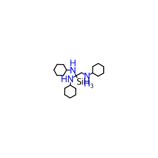 [SiH3]C(CNC1CCCCC1)(NC1CCCCC1)NC1CCCCC1